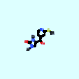 CCSc1cc(C(=O)c2cn(C(C)=O)c(=O)n2C(C)=O)ccn1